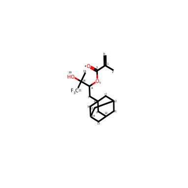 C=C(C)C(=O)OC(CC12CC3CC(CC(C3)C1)C2)C(C)(O)C(F)(F)F